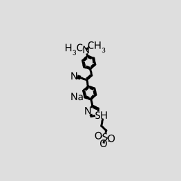 CN(C)c1ccc(/C=C(\C#N)c2ccc(C3=C[SH](CCCS(=O)(=O)[O-])C=N3)cc2)cc1.[Na+]